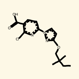 CCC(C)(C)COc1ccn(-c2ccc(C(=O)O)c(Cl)n2)n1